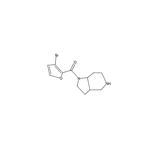 O=C(c1occc1Br)N1CCC2CNCCC21